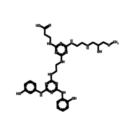 COCC(O)CNCCNc1nc(NCCNc2nc(Nc3cccc(O)c3)nc(Nc3ccccc3O)n2)nc(NCCC(=O)O)n1